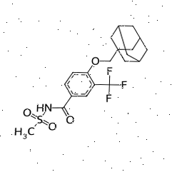 CS(=O)(=O)NC(=O)c1ccc(OCC23CC4CC(CC(C4)C2)C3)c(C(F)(F)F)c1